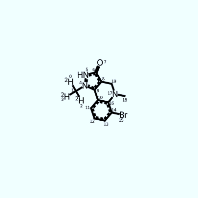 [2H]C([2H])([2H])n1[nH]c(=O)c2c1-c1cccc(Br)c1N(C)C2